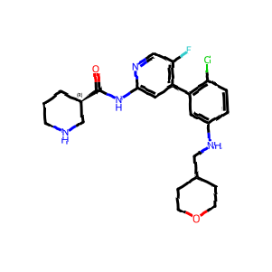 O=C(Nc1cc(-c2cc(NCC3CCOCC3)ccc2Cl)c(F)cn1)[C@@H]1CCCNC1